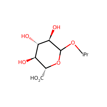 CC(C)OC1O[C@H](C(=O)O)[C@@H](O)[C@H](O)[C@H]1O